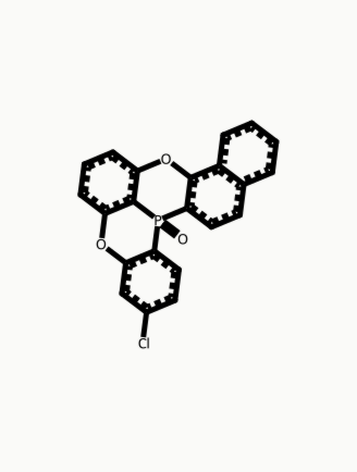 O=P12c3ccc(Cl)cc3Oc3cccc(c31)Oc1c2ccc2ccccc12